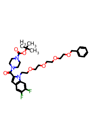 CC(C)(C)OC(=O)N1CCN(C(=O)c2cc3cc(F)c(F)cc3n2CCOCCOCCOCCOCc2ccccc2)CC1